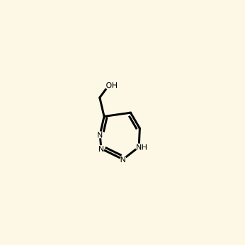 OCC1=NN=NNC=C1